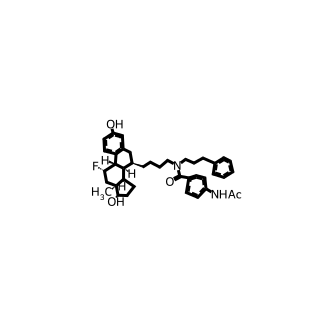 CC(=O)Nc1ccc(C(=O)N(CCCC[C@@H]2Cc3cc(O)ccc3[C@@H]3[C@@H]2[C@@H]2CC[C@H](O)[C@@]2(C)C[C@@H]3F)CCCc2ccccc2)cc1